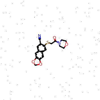 N#Cc1cc2cc3c(cc2cc1SCC(=O)N1CCOCC1)OCO3